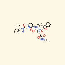 CNC(=O)C(=O)CC[C@H](NC(=O)c1oc2ccccc2c1C)C(=O)Nc1cccn(CC(=O)NC23CCCC4CC(CCC42)C3)c1=O